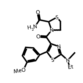 CCN(C)c1nc(C(=O)N2CCSC2C(N)=O)c(-c2cccc(OC)c2)s1